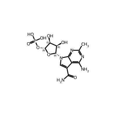 Cc1nc(N)c2c(C(N)=O)cn([C@@H]3O[C@H](OP(=O)(O)O)[C@@H](O)[C@H]3O)c2n1